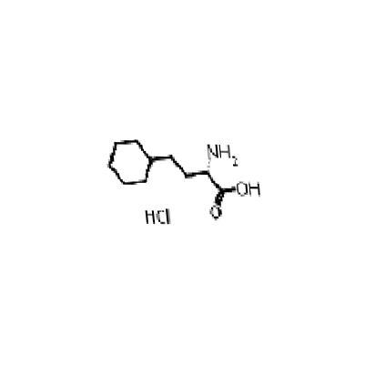 Cl.N[C@@H](CCC1CCCCC1)C(=O)O